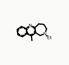 CCN1CCCc2nc3ccccc3c(C)c2C1